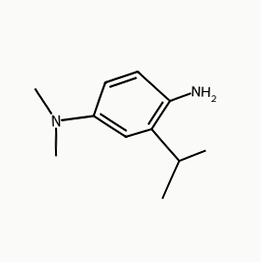 CC(C)c1cc(N(C)C)ccc1N